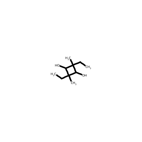 CCC1(C)C(O)C(C)(CC)C1O